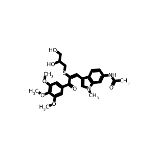 COc1cc(C(=O)/C(=C\c2cn(C)c3cc(NC(C)=O)ccc23)SCC(O)CO)cc(OC)c1OC